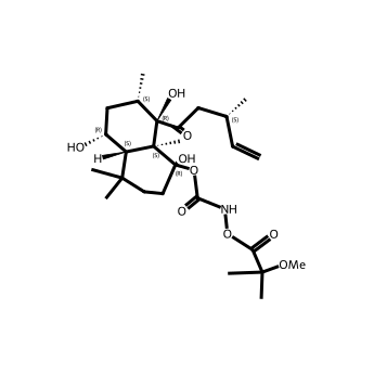 C=C[C@@H](C)CC(=O)[C@@]1(O)[C@@H](C)C[C@@H](O)[C@H]2C(C)(C)CC[C@@](O)(OC(=O)NOC(=O)C(C)(C)OC)[C@@]21C